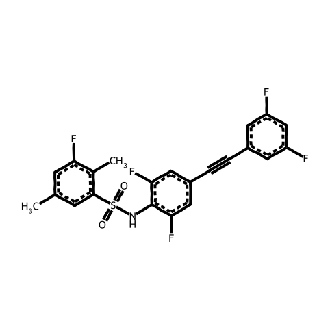 Cc1cc(F)c(C)c(S(=O)(=O)Nc2c(F)cc(C#Cc3cc(F)cc(F)c3)cc2F)c1